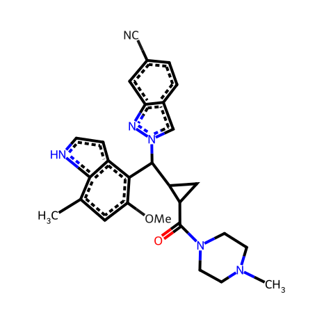 COc1cc(C)c2[nH]ccc2c1C(C1CC1C(=O)N1CCN(C)CC1)n1cc2ccc(C#N)cc2n1